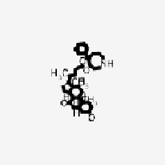 C[C@H](CCC(=O)OC1(c2ccccc2)CCCNCCC1)[C@H]1CC[C@H]2[C@@H]3C(=O)C[C@@H]4CC(=O)CC[C@]4(C)[C@H]3CC(=O)[C@]12C